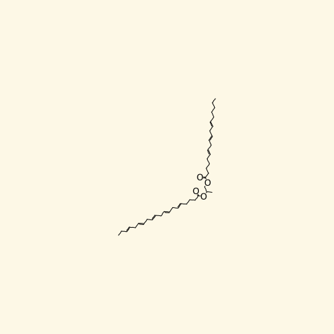 CCC=CCC=CCC=CCC=CCC=CCCCC(=O)OC(C)COC(=O)CCCCC=CCC=CCC=CCCCCC